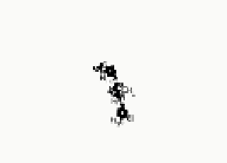 Cc1ccc(CNc2nn(C)c3c(C(=O)NCc4ccc5c(c4)NC(=O)CO5)ncnc23)cc1Cl